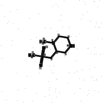 CN1CCNCC1CS(C)(=O)=O